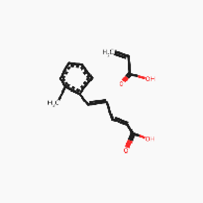 C=CC(=O)O.Cc1ccccc1C=CC=CC(=O)O